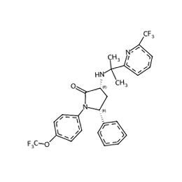 CC(C)(N[C@@H]1C[C@H](c2ccccc2)N(c2ccc(OC(F)(F)F)cc2)C1=O)c1cccc(C(F)(F)F)n1